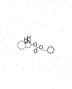 O=C(OCc1ccccc1)OC1CC2CCCCC[C@H]2N1